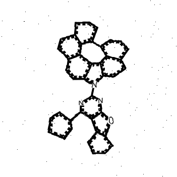 c1ccc(-c2nc(-n3c4ccc5cccc6c5c4c4c5c(ccc7cccc-6c75)ccc43)nc3oc4ccccc4c23)cc1